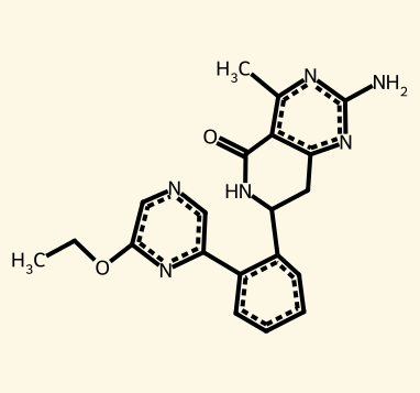 CCOc1cncc(-c2ccccc2C2Cc3nc(N)nc(C)c3C(=O)N2)n1